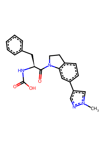 Cn1cc(-c2ccc3c(c2)N(C(=O)[C@H](Cc2ccccc2)NC(=O)O)CC3)cn1